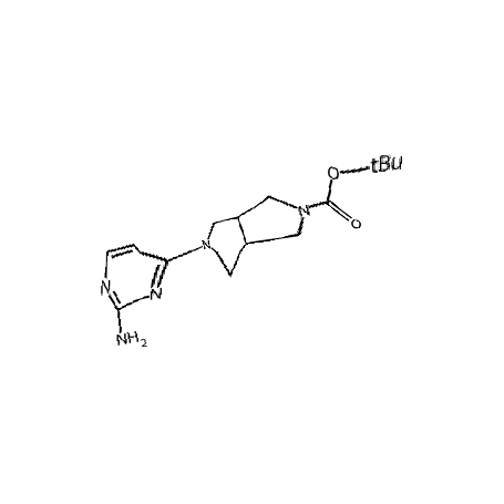 CC(C)(C)OC(=O)N1CC2CN(c3ccnc(N)n3)CC2C1